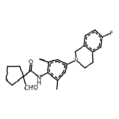 Cc1cc(N2CCc3cc(F)ccc3C2)cc(C)c1NC(=O)C1(C=O)CCCC1